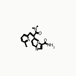 Cc1cccc(/C=C(/C(=O)N(C)C)c2ccc3ncc(C(N)=O)n3c2)n1